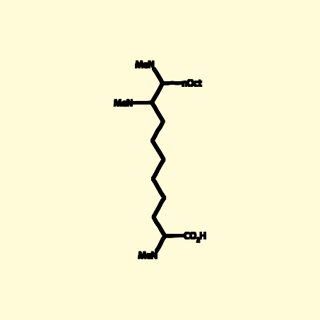 CCCCCCCCC(NC)C(CCCCCCC(NC)C(=O)O)NC